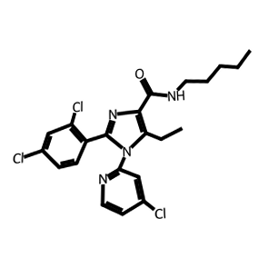 CCCCCNC(=O)c1nc(-c2ccc(Cl)cc2Cl)n(-c2cc(Cl)ccn2)c1CC